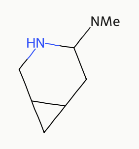 CNC1CC2CC2CN1